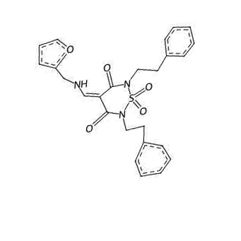 O=C1C(=CNCc2ccco2)C(=O)N(CCc2ccccc2)S(=O)(=O)N1CCc1ccccc1